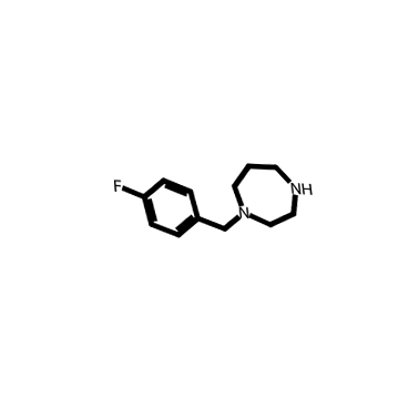 Fc1ccc(CN2CCCNCC2)cc1